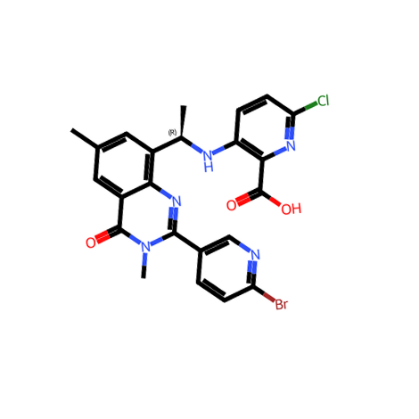 Cc1cc([C@@H](C)Nc2ccc(Cl)nc2C(=O)O)c2nc(-c3ccc(Br)nc3)n(C)c(=O)c2c1